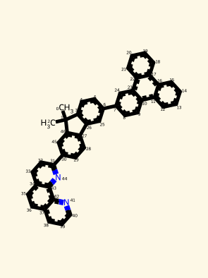 CC1(C)c2ccc(-c3ccc4c5ccccc5c5ccccc5c4c3)cc2-c2ccc(-c3ccc4ccc5cccnc5c4n3)cc21